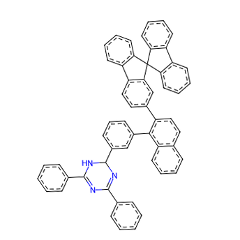 c1ccc(C2=NC(c3cccc(-c4c(-c5ccc6c(c5)C5(c7ccccc7-c7ccccc75)c5ccccc5-6)ccc5ccccc45)c3)NC(c3ccccc3)=N2)cc1